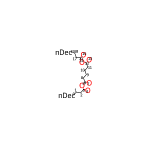 CCCCCCCCCCCCC(=O)OC(=O)CCCCC(=O)OC(=O)CCCCCCCCCCCC